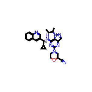 CCC(C)n1ncc2nc(N3CCOC(C#N)C3)nc(N[C@@H](c3cnc4ccccc4c3)C3CC3)c21